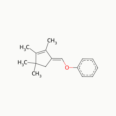 CC1=C(C)C(C)(C)CC1=COc1ccccc1